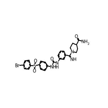 N=C(c1cccc(NC(=O)Nc2ccc(S(=O)(=O)c3ccc(Br)cc3)cc2)c1)N1CCC(C(N)=O)CC1